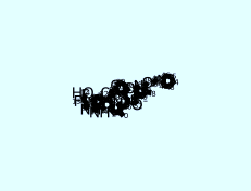 Cc1ccc(C(c2ccn(C(=N)C(F)F)c(=N)c2C)C(C)(C)C(=O)O)nc1CN1CC2(CCOCC2)Oc2nc(OCCN3CCCCC3)c(C)cc2[S+]1[O-]